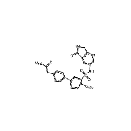 COC(=O)Cc1ccc(-c2ccc(OC)c(S(=O)(=O)Nc3cnc4c(c3)C(=O)NC4)c2)cc1